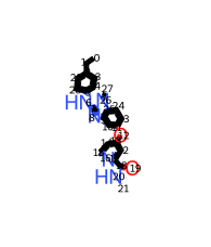 CCc1ccc(Nc2nc3cc(Oc4ccnc(C(=O)NC)c4)ccc3n2C)cc1